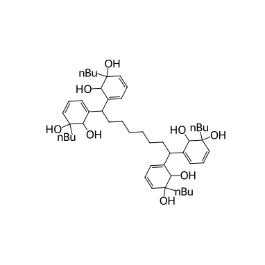 CCCCC1(O)C=CC=C(C(CCCCCCC(C2=CC=CC(O)(CCCC)C2O)C2=CC=CC(O)(CCCC)C2O)C2=CC=CC(O)(CCCC)C2O)C1O